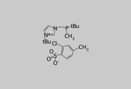 CP(Cn1cc[n+](C(C)(C)C)c1)C(C)(C)C.Cc1ccc(S(=O)(=O)[O-])c(Cl)c1